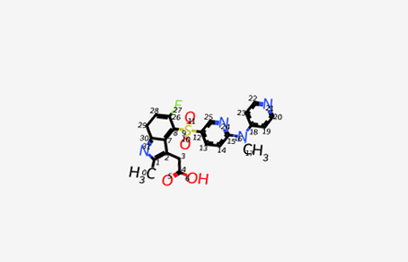 CC1=C(CC(=O)O)C2=C(S(=O)(=O)c3ccc(N(C)c4ccncc4)nc3)C(F)=CCC2=N1